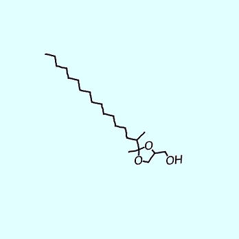 CCCCCCCCCCCCCCCC(C)C1(C)OCC(CO)O1